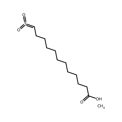 C.O=C(O)CCCCCCCCCCC=S(=O)=O